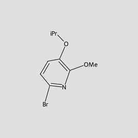 COc1nc(Br)ccc1OC(C)C